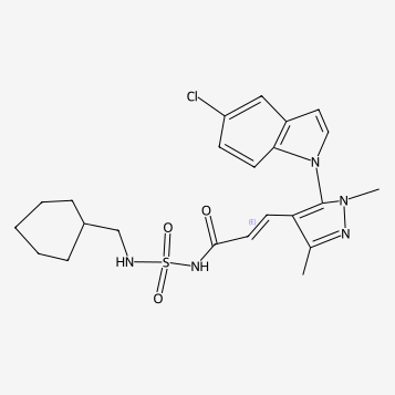 Cc1nn(C)c(-n2ccc3cc(Cl)ccc32)c1/C=C/C(=O)NS(=O)(=O)NCC1CCCCC1